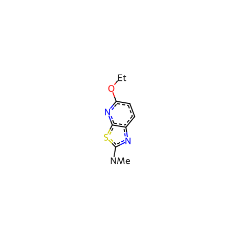 CCOc1ccc2nc(NC)sc2n1